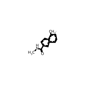 [CH2]c1cccc2cc(C(=O)NC)ccc12